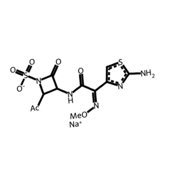 CON=C(C(=O)NC1C(=O)N(S(=O)(=O)[O-])C1C(C)=O)c1csc(N)n1.[Na+]